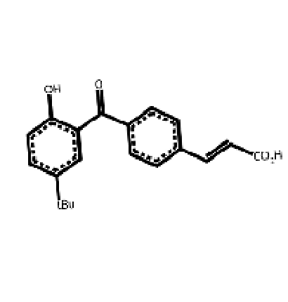 CC(C)(C)c1ccc(O)c(C(=O)c2ccc(/C=C/C(=O)O)cc2)c1